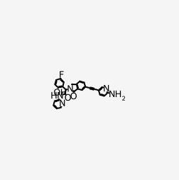 Nc1ccc(C#Cc2ccc3c(c2)C(=O)N(C(C(=O)Nc2ccccn2)c2cc(F)ccc2O)C3)cn1